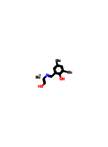 CC[C@H](C)C(=CO)N=Cc1cc(C(C)(C)C)cc(C(C)(C)C)c1O